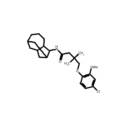 COc1cc(Cl)ccc1OCC(C)(C)CC(=O)NC1C2CC3CCCC1C(C3)C2